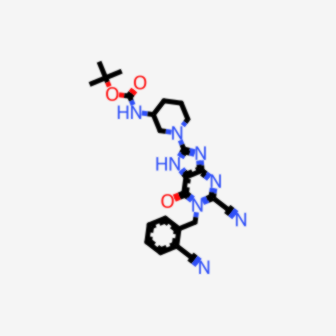 CC(C)(C)OC(=O)NC1CCCN(c2nc3nc(C#N)n(Cc4ccccc4C#N)c(=O)c3[nH]2)C1